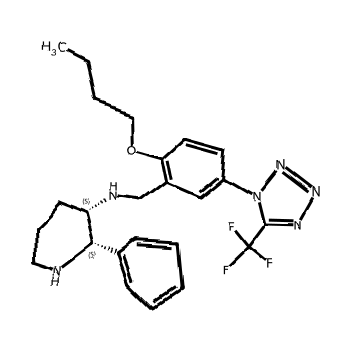 CCCCOc1ccc(-n2nnnc2C(F)(F)F)cc1CN[C@H]1CCCN[C@H]1c1ccccc1